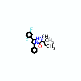 CCC(C)C(NC)C(=O)N1CC(c2cc(F)ccc2F)=CC1c1ccccc1